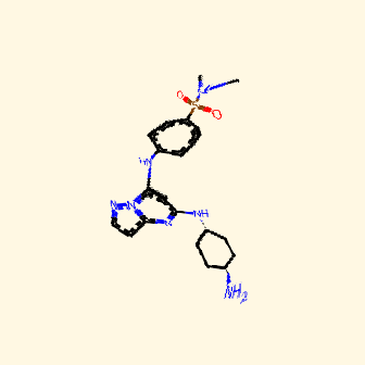 CN(C)S(=O)(=O)c1ccc(Nc2cc(N[C@H]3CC[C@H](N)CC3)nc3ccnn23)cc1